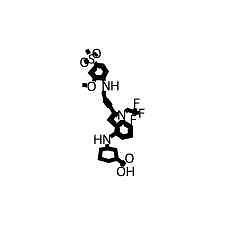 COc1cc(S(C)(=O)=O)ccc1NCC#Cc1cc2c(NC3CCCC(C(=O)O)C3)cccc2n1CC(F)(F)F